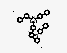 c1ccc(-c2ccc(-c3nc(-c4cccc(-c5ccccc5)c4)nc(-c4ccc5c(c4)oc4ccc6c7ccccc7n(-c7ccc(-c8ccccc8)cc7)c6c45)n3)cc2)cc1